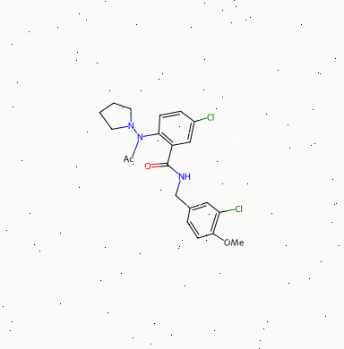 COc1ccc(CNC(=O)c2cc(Cl)ccc2N(C(C)=O)N2CCCC2)cc1Cl